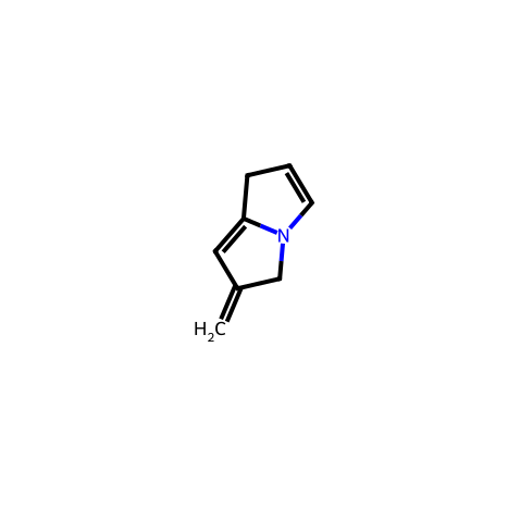 C=C1C=C2CC=CN2C1